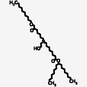 CCCCCCCCCCOCC(=O)CCCCCN(CCO)CCCCCCCC(=O)OC(CCCCCCCC)CCCCCCCC